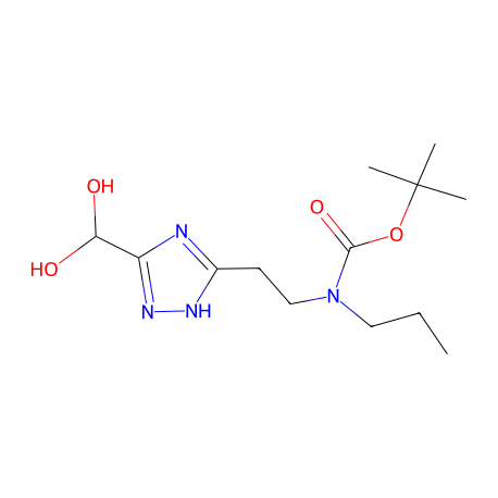 CCCN(CCc1nc(C(O)O)n[nH]1)C(=O)OC(C)(C)C